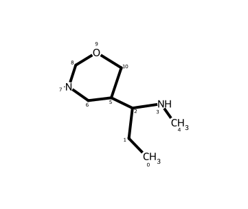 CCC(NC)C1C[N]COC1